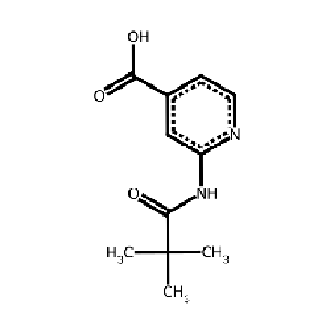 CC(C)(C)C(=O)Nc1cc(C(=O)O)ccn1